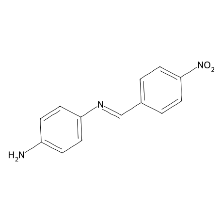 Nc1ccc(N=Cc2ccc([N+](=O)[O-])cc2)cc1